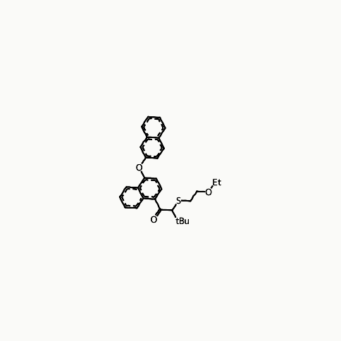 CCOCCSC(C(=O)c1ccc(Oc2ccc3ccccc3c2)c2ccccc12)C(C)(C)C